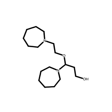 OCCC(OCCN1CCCCCC1)N1CCCCCC1